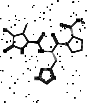 CCC1C(=O)N[C@H](C(=O)N[C@@H](Cc2c[nH]cn2)C(=O)N2CCC[C@H]2C(N)=O)C1C